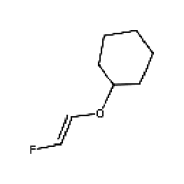 FC=CO[C]1CCCCC1